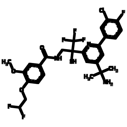 COc1cc(C(=O)NCC(S)(c2cc(C(C)(C)N)cc(-c3ccc(F)c(Cl)c3)n2)C(F)(F)F)ccc1OCC(F)F